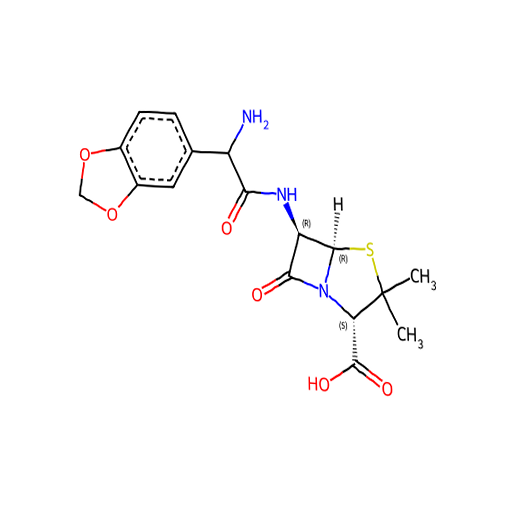 CC1(C)S[C@@H]2[C@H](NC(=O)C(N)c3ccc4c(c3)OCO4)C(=O)N2[C@H]1C(=O)O